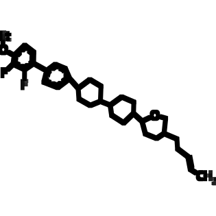 C/C=C/CCC1CCC(C2CCC(C3CCC(c4ccc(-c5ccc(OCC)c(F)c5F)cc4)CC3)CC2)OC1